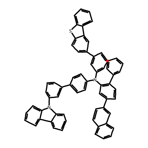 c1ccc(-c2ccc(-c3ccc4ccccc4c3)cc2N(c2ccc(-c3cccc(-n4c5ccccc5c5ccccc54)c3)cc2)c2cccc(-c3ccc4sc5ccccc5c4c3)c2)cc1